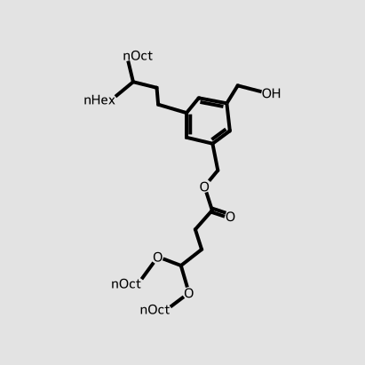 CCC[CH]CCCCC(CCCCCC)CCc1cc(CO)cc(COC(=O)CCC(OCCCCCCCC)OCCCCCCCC)c1